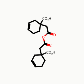 O=C(CC1(C(=O)O)CC=CCC1)OC(=O)CC1(C(=O)O)CC=CCC1